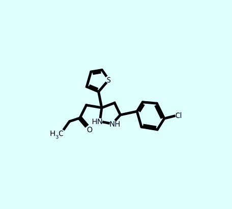 CCC(=O)CC1(c2cccs2)CC(c2ccc(Cl)cc2)NN1